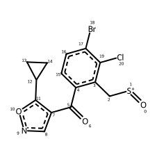 O=[S+]Cc1c(C(=O)c2cnoc2C2CC2)ccc(Br)c1Cl